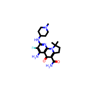 CN1CCC(Nc2nc3c(c(N)c2F)c(=O)c(C(N)=O)c2n3C(C)(C)CC2)CC1